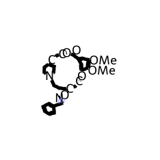 COc1cc2cc(c1OC)OCCCC(O/N=C/c1ccccc1)CCN1CCC(CCCOC2=O)CC1